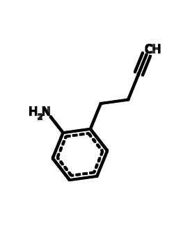 C#CCCc1ccccc1N